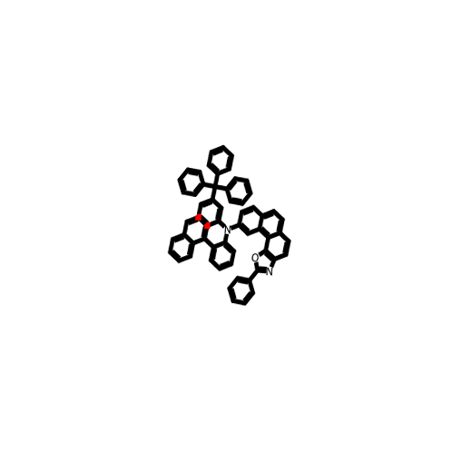 c1ccc(-c2nc3ccc4ccc5ccc(N(c6cccc(C(c7ccccc7)(c7ccccc7)c7ccccc7)c6)c6ccccc6-c6cccc7ccccc67)cc5c4c3o2)cc1